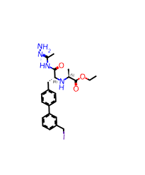 CCOC(=O)[C@H](C)N[C@H](Cc1ccc(-c2cccc(CI)c2)cc1)C(=O)N/C(C)=N/N